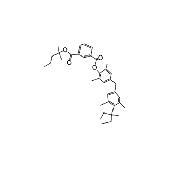 CCCC(C)(C)OC(=O)c1cccc(C(=O)Oc2c(C)cc(Cc3cc(C)c(C(C)(CC)CC)c(C)c3)cc2C)c1